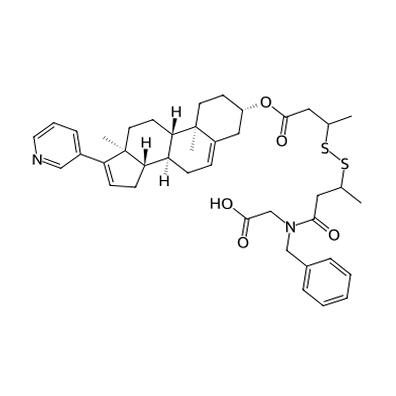 CC(CC(=O)O[C@H]1CC[C@@]2(C)C(=CC[C@@H]3[C@@H]2CC[C@]2(C)C(c4cccnc4)=CC[C@@H]32)C1)SSC(C)CC(=O)N(CC(=O)O)Cc1ccccc1